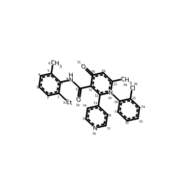 CCc1cccc(C)c1NC(=O)c1c(-c2ccncc2)n(-c2ccccc2Cl)c(C)cc1=O